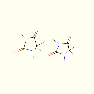 CN1C(=O)N(C)C(Cl)(Br)C1=O.CN1C(=O)N(C)C(Cl)(Cl)C1=O